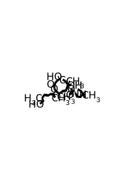 C/C(=C\C=C\C(C)CO)[C@H]1OC(=O)C[C@@H](O)CC[C@](C)(O)[C@@H](OC(=O)N2CCN(C)CC2)/C=C/[C@@H]1C